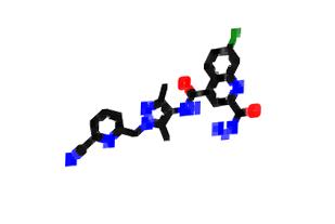 Cc1nn(Cc2cccc(C#N)n2)c(C)c1NC(=O)c1cc(C(N)=O)nc2cc(F)ccc12